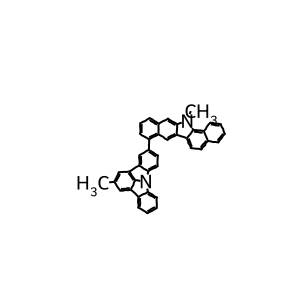 Cc1cc2c3ccccc3n3c4ccc(-c5cccc6cc7c(cc56)c5ccc6ccccc6c5n7C)cc4c(c1)c23